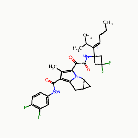 CCC/C=C(\C(C)C)C1(NC(=O)C(=O)c2c(C)c(C(=O)Nc3ccc(F)c(F)c3)c3n2C2CC2C3)CC(F)(F)C1